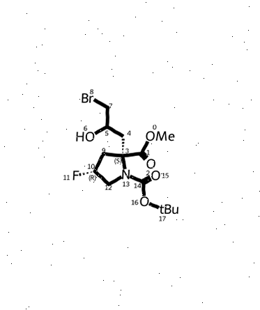 COC(=O)[C@]1(CC(O)CBr)C[C@@H](F)CN1C(=O)OC(C)(C)C